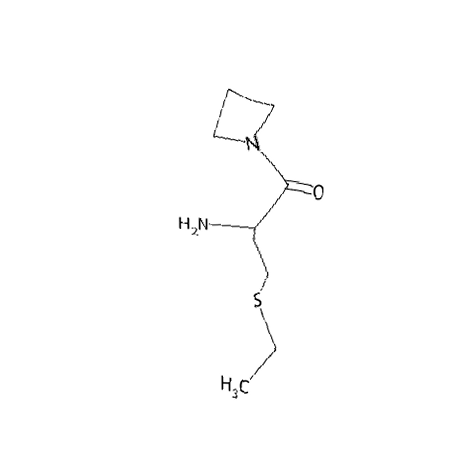 CCSCC(N)C(=O)N1CCC1